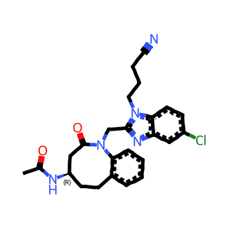 CC(=O)N[C@@H]1CCc2ccccc2N(Cc2nc3cc(Cl)ccc3n2CCCC#N)C(=O)C1